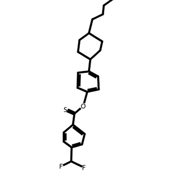 CCCCC1CCC(c2ccc(OC(=S)c3ccc(C(F)F)cc3)cc2)CC1